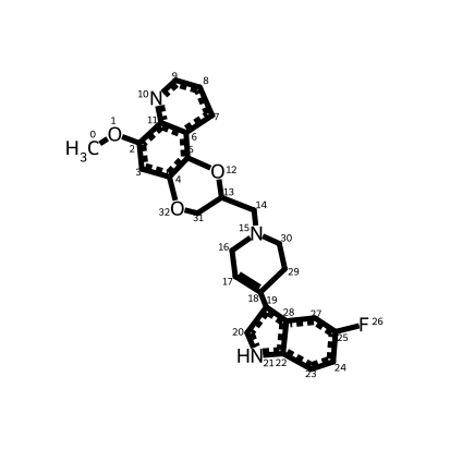 COc1cc2c(c3cccnc13)OC(CN1CC=C(c3c[nH]c4ccc(F)cc34)CC1)CO2